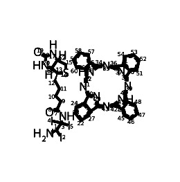 NC(I)C(I)(I)NC(=O)CCCC[C@@H]1SC[C@@H]2NC(=O)N[C@@H]21.c1ccc2c(c1)-c1nc-2nc2[nH]c(nc3nc(nc4[nH]c(n1)c1ccccc41)-c1ccccc1-3)c1ccccc21